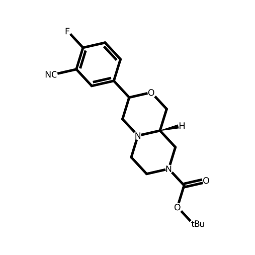 CC(C)(C)OC(=O)N1CCN2CC(c3ccc(F)c(C#N)c3)OC[C@@H]2C1